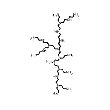 CN(CCN(CCN)CCNCCN(CCN)CCN)CCN(CCN)CCN(CCNCCNCCN(CCN)CCNCCN)CCN(CCNCCN)CCNCCN